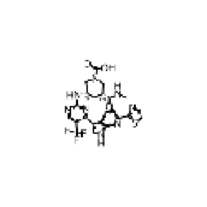 CNC(=O)[C@@H]1C[C@H](Nc2ncc(C(F)(F)F)c(-c3c[nH]c4nc(-c5nccs5)ccc34)n2)CN(C(=O)O)C1